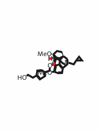 COc1ccc2c3c1O[C@@H]1C34CCN(CC3CC3)C(C2)[C@]42CC[C@@]1(OC)[C@@H](COCc1ccc(CCO)cc1)C2